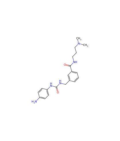 CN(C)CCCNC(=O)c1cccc(CNC(=O)Nc2ccc(N)cc2)c1